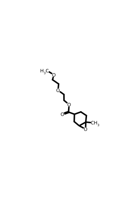 COCCOCCOC(=O)C1CCC2(C)OC2C1